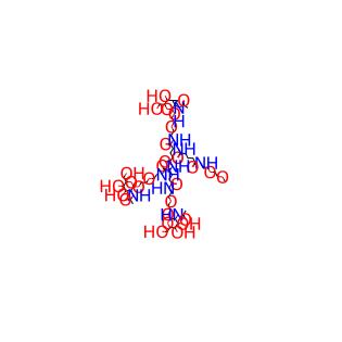 COCCOCCNC(=O)CCCC(=O)NC(CCC(=O)NC(CCC(=O)NCCOCCOC1OC(CO)C(O)C(O)C1NC(C)=O)C(=O)NCCOCCOC1OC(CO)C(O)C(O)C1NC(C)=O)C(=O)NCCOCCOC1OC(CO)C(O)C2CC12NC(C)=O